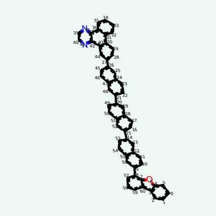 c1ccc2c(c1)oc1c(-c3ccc4cc(-c5ccc6cc(-c7ccc8cc(-c9ccc%10c%11ccccc%11c%11nccnc%11c%10c9)ccc8c7)ccc6c5)ccc4c3)cccc12